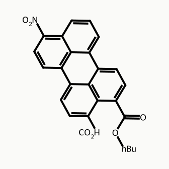 CCCCOC(=O)c1ccc2c3cccc4c([N+](=O)[O-])ccc(c5ccc(C(=O)O)c1c52)c43